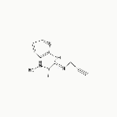 C#CC/N=C(\Nc1ccccn1)C(C)NC#N